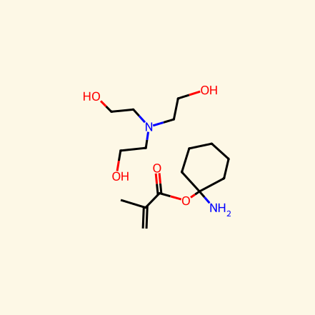 C=C(C)C(=O)OC1(N)CCCCC1.OCCN(CCO)CCO